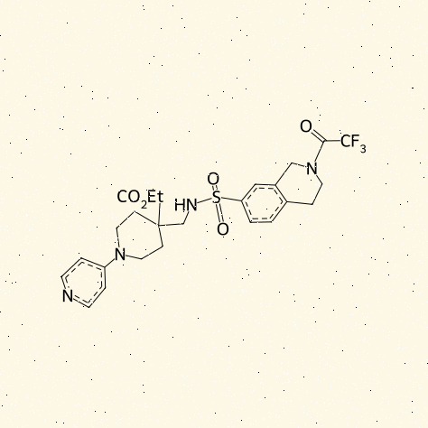 CCOC(=O)C1(CNS(=O)(=O)c2ccc3c(c2)CN(C(=O)C(F)(F)F)CC3)CCN(c2ccncc2)CC1